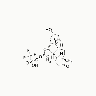 CC(=O)O.C[C@]12CC[C@H](O)CC1=CC[C@@H]1[C@@H]2CC[C@]2(C)C(=O)CC[C@@H]12.O=S(=O)(O)C(F)(F)F